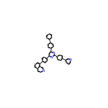 c1ccc(-c2ccc(-c3cc(-c4ccc(-c5cccc6ccncc56)cc4)nc(-c4ccc(-c5cccnc5)cc4)n3)cc2)cc1